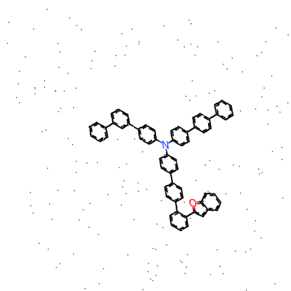 c1ccc(-c2ccc(-c3ccc(N(c4ccc(-c5ccc(-c6ccccc6-c6cc7ccccc7o6)cc5)cc4)c4ccc(-c5cccc(-c6ccccc6)c5)cc4)cc3)cc2)cc1